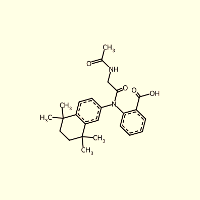 CC(=O)NCC(=O)N(c1ccc2c(c1)C(C)(C)CCC2(C)C)c1ccccc1C(=O)O